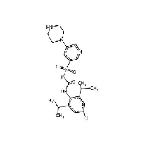 CC(C)c1cc(Cl)cc(C(C)C)c1NC(=O)NS(=O)(=O)c1cncc(N2CCNCC2)n1